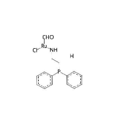 O=[CH][Ru]([Cl])[NH]CCP(c1ccccc1)c1ccccc1.[H-]